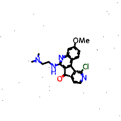 COc1ccc2c3c(c(NCCN(C)C)nc2c1)C(=O)c1ccnc(Cl)c1-3